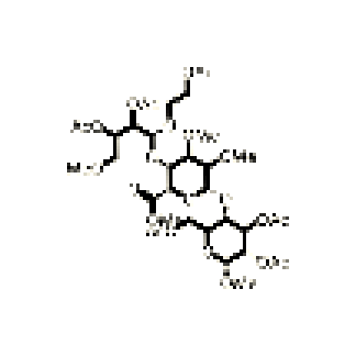 COCC(OC(C)=O)C(OC(C)=O)[C@H](OCCOC(C)=O)O[C@H]1C(OC)C(OC)[C@H](O[C@@H]2C(COC(C)=O)O[C@H](OC)[C@@H](OC(C)=O)C2OC(C)=O)O[C@H]1C(=O)OC